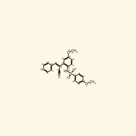 COc1ccc(S(=O)(=O)Nc2ccc(OC)cc2C(C#N)=Cc2ccncc2)cc1